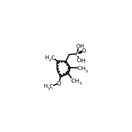 COc1cc(C)c(CP(=O)(O)O)c(C)c1C